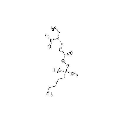 CCCCCC(C)(C)OOC(=O)OCC(CC)[N+](=O)[O-]